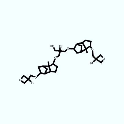 CCC1(COC2CC3CC2C2CCC(OCC(CC)(CO)COC4CC5CC4C4CCC(OCC6(CC)COC6)C54C)C32C)COC1